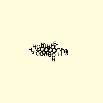 CN(C)[C@@H]1C(O)=C(C(N)=O)C(=O)[C@@]2(O)C(O)=C3C(=O)c4c(O)cc(CNCC5CCOC5)c(C(F)(F)F)c4C[C@H]3C[C@@H]12